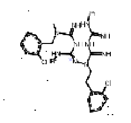 CC(C)NC(=N)NC(=N)N(CCc1ccccc1Cl)/N=C(\NC(=N)N(C)Cc1ccccc1Cl)NC(C)C